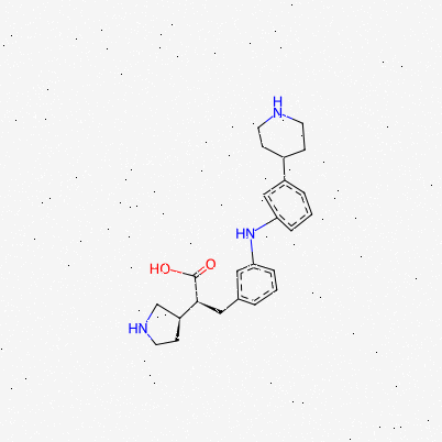 O=C(O)[C@@H](Cc1cccc(Nc2cccc(C3CCNCC3)c2)c1)[C@H]1CCNC1